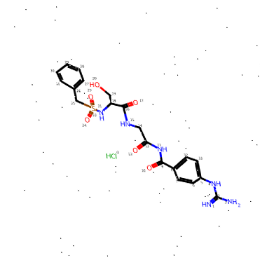 Cl.N=C(N)Nc1ccc(C(=O)NC(=O)CNC(=O)[C@H](CO)NS(=O)(=O)Cc2ccccc2)cc1